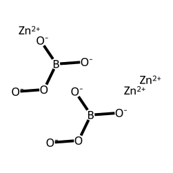 [O-]OB([O-])[O-].[O-]OB([O-])[O-].[Zn+2].[Zn+2].[Zn+2]